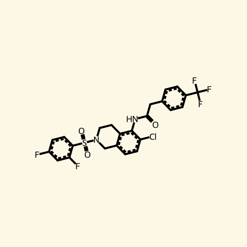 O=C(Cc1ccc(C(F)(F)F)cc1)Nc1c(Cl)ccc2c1CCN(S(=O)(=O)c1ccc(F)cc1F)C2